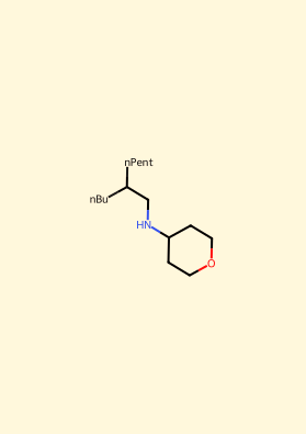 CCCCCC(CCCC)CNC1CCOCC1